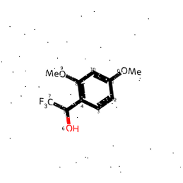 COc1ccc(C(O)C(F)(F)F)c(OC)c1